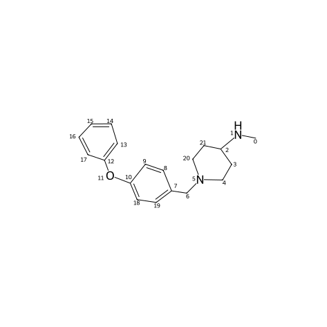 CNC1CCN(Cc2ccc(Oc3ccccc3)cc2)CC1